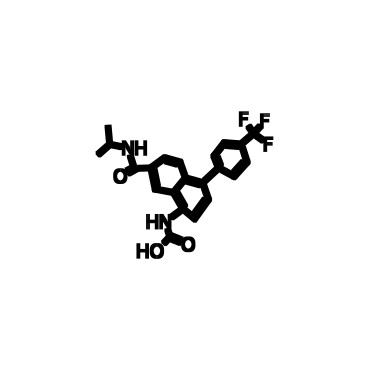 CC(C)NC(=O)c1ccc2c(-c3ccc(C(F)(F)F)cc3)ccc(NC(=O)O)c2c1